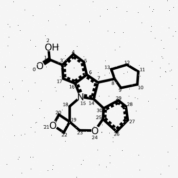 O=C(O)c1ccc2c(C3CCCCC3)c3n(c2c1)CC1(COC1)COc1ccccc1-3